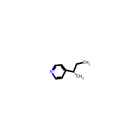 CC[C@H](C)c1ccncc1